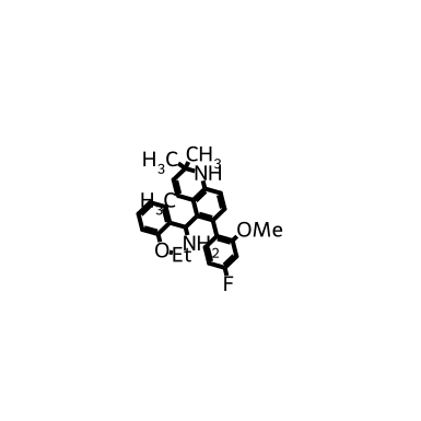 CCOc1ccccc1C(N)c1c(-c2ccc(F)cc2OC)ccc2c1C(C)=CC(C)(C)N2